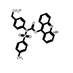 Br.Cc1ccc(S(=O)(=O)N(C(=O)Oc2c3ccccc3nc3ccccc23)c2ccc(CC(=O)O)cc2)cc1